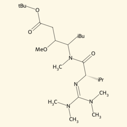 CCC(C)C(C(CC(=O)OC(C)(C)C)OC)N(C)C(=O)[C@@H](N=C(N(C)C)N(C)C)C(C)C